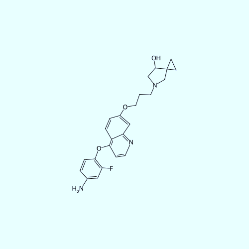 Nc1ccc(Oc2ccnc3cc(OCCCN4CC(O)C5(CC5)C4)ccc23)c(F)c1